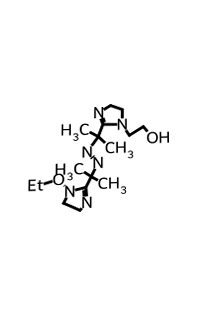 CCON1CCN=C1C(C)(C)N=NC(C)(C)C1=NCCN1CCO